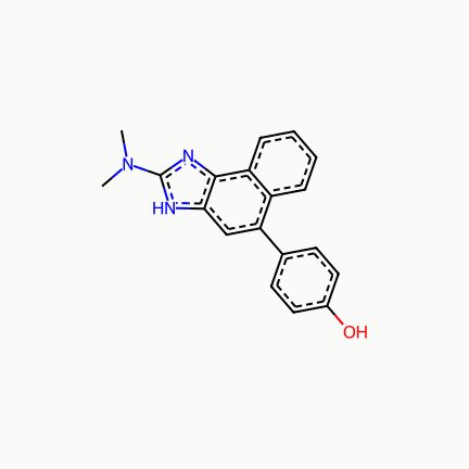 CN(C)c1nc2c(cc(-c3ccc(O)cc3)c3ccccc32)[nH]1